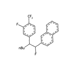 CCCCC(c1ccc(C(F)(F)F)c(F)c1)C(F)c1ccc2ccccc2c1